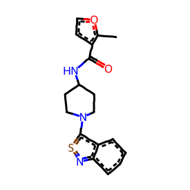 Cc1occc1C(=O)NC1CCN(c2snc3ccccc23)CC1